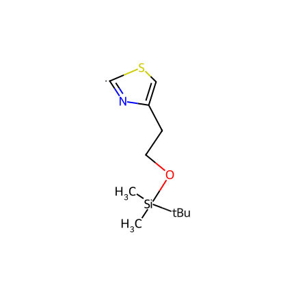 CC(C)(C)[Si](C)(C)OCCc1cs[c]n1